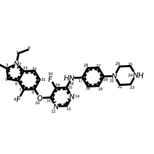 CCn1c(C)cc2c(F)c(Oc3ncnc(Nc4ccc(N5CCNCC5)cc4)c3F)ccc21